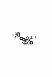 COc1ccccc1C(CCO)NC(=O)c1cc2cc(/C(C=N)=C/N)ccc2cn1